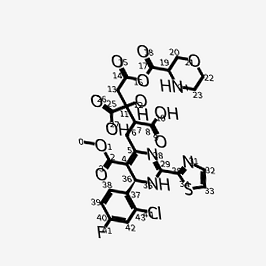 COC(=O)C1=C(CC(C(=O)O)C(O)(CC(=O)OC(=O)C2COCCN2)C(=O)O)N=C(c2nccs2)N[C@H]1c1ccc(F)cc1Cl